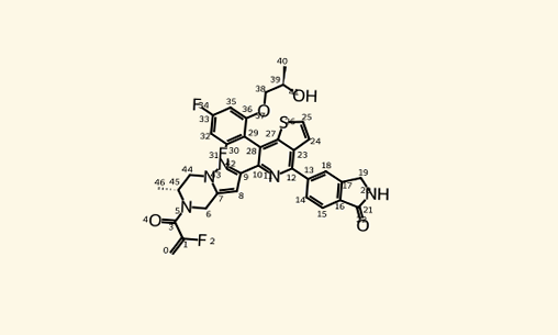 C=C(F)C(=O)N1Cc2cc(-c3nc(-c4ccc5c(c4)CNC5=O)c4ccsc4c3-c3c(F)cc(F)cc3OC[C@@H](C)O)nn2C[C@H]1C